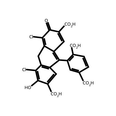 O=C(O)C1=CC2=C(c3cc(C(=O)O)ccc3C(=O)O)c3cc(C(=O)O)c(O)c(Cl)c3CC2=C(Cl)C1=O